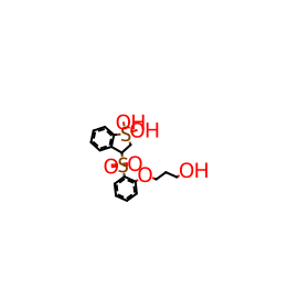 O=S(=O)(c1ccccc1OCCCO)C1CS(O)(O)c2ccccc21